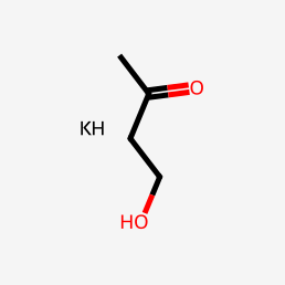 CC(=O)CCO.[KH]